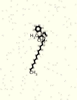 CCCCCCCCCCCCCCC[n+]1ccn(-c2ccccc2)c1C(C)C